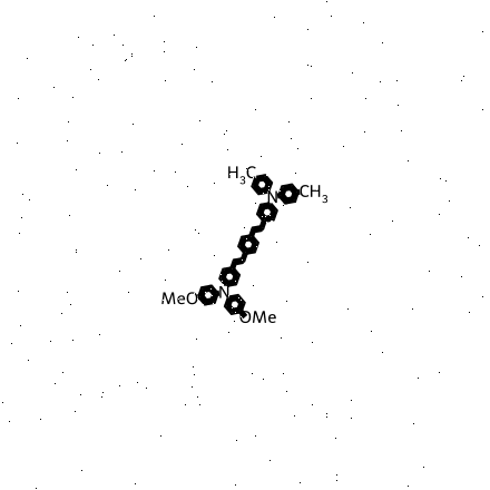 COc1ccc(N(c2ccc(C=Cc3ccc(C=Cc4ccc(N(c5ccc(C)cc5)c5ccc(C)cc5)cc4)cc3)cc2)c2ccc(OC)cc2)cc1